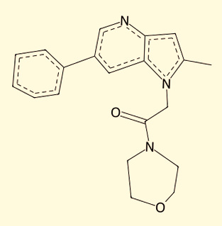 Cc1cc2ncc(-c3ccccc3)cc2n1CC(=O)N1CCOCC1